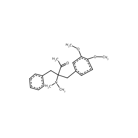 COc1ccc(CC(Cc2ccccc2)(C(C)=O)N(C)C)cc1OC